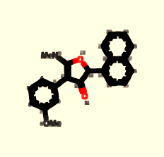 CNC1=C(c2cccc(OC)c2)C(=O)C(c2cccc3ccccc23)O1